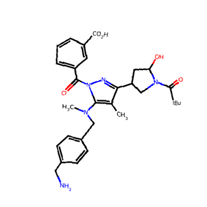 Cc1c(C2CC(O)N(C(=O)C(C)(C)C)C2)nn(C(=O)c2cccc(C(=O)O)c2)c1N(C)Cc1ccc(CN)cc1